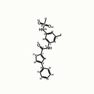 Cc1cc(NC(=O)c2cc(-c3ccccc3)cs2)cc(NS(C)(=O)=O)c1